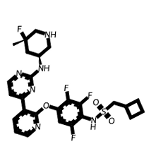 C[C@@]1(F)CNC[C@@H](Nc2nccc(-c3cccnc3Oc3cc(F)c(NS(=O)(=O)CC4CCC4)c(F)c3F)n2)C1